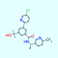 C[C@@H](NC(=O)c1cc(-c2ccc(Cl)cn2)cc(C(C)(C)O)c1)c1ccc(C(F)(F)F)nc1